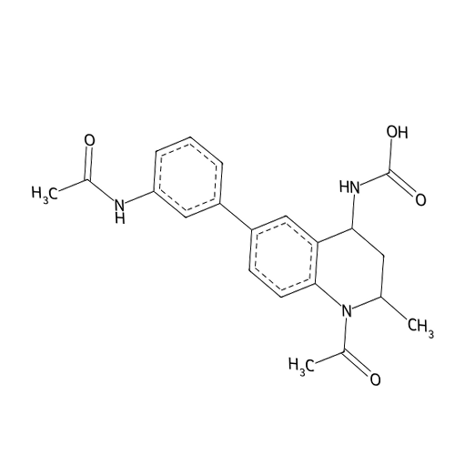 CC(=O)Nc1cccc(-c2ccc3c(c2)C(NC(=O)O)CC(C)N3C(C)=O)c1